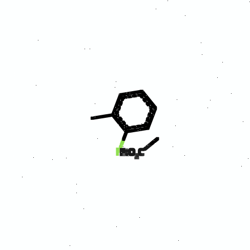 CCOC(C)=O.Cc1ccccc1F